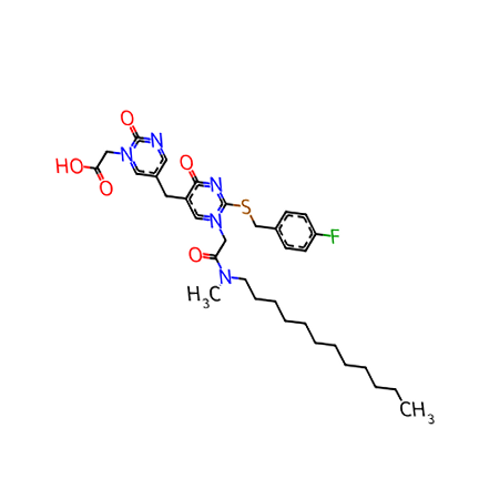 CCCCCCCCCCCCN(C)C(=O)Cn1cc(Cc2cnc(=O)n(CC(=O)O)c2)c(=O)nc1SCc1ccc(F)cc1